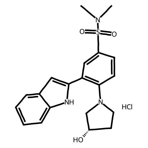 CN(C)S(=O)(=O)c1ccc(N2CC[C@H](O)C2)c(-c2cc3ccccc3[nH]2)c1.Cl